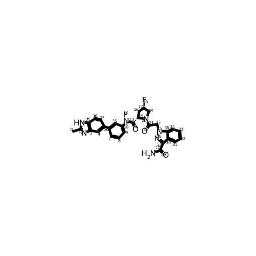 Cc1nc2cc(-c3cccc(N(F)C(=O)[C@@H]4C[C@@H](F)CN4C(=O)Cn4nc(C(N)=O)c5ccccc54)c3)ccc2[nH]1